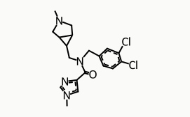 CN1CC2C(C1)C2CN(Cc1ccc(Cl)c(Cl)c1)C(=O)c1cn(C)cn1